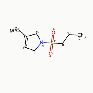 CSC1=CCN(S(=O)(=O)CCC(F)(F)F)C1